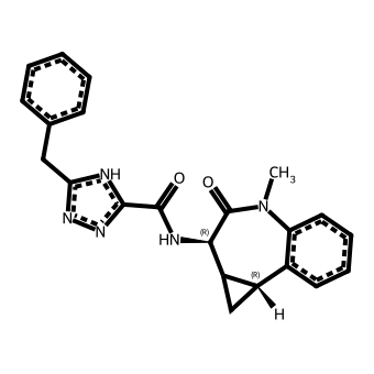 CN1C(=O)[C@H](NC(=O)c2nnc(Cc3ccccc3)[nH]2)C2C[C@H]2c2ccccc21